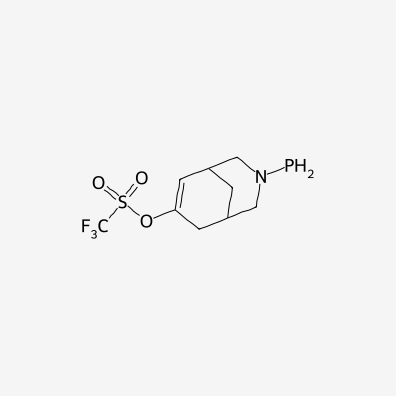 O=S(=O)(OC1=CC2CC(C1)CN(P)C2)C(F)(F)F